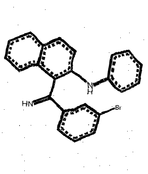 N=C(c1cccc(Br)c1)c1c(Nc2ccccc2)ccc2ccccc12